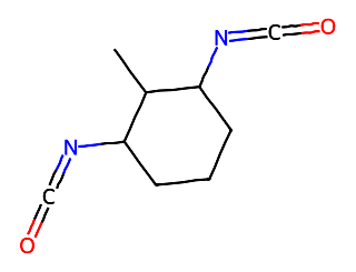 CC1C(N=C=O)CCCC1N=C=O